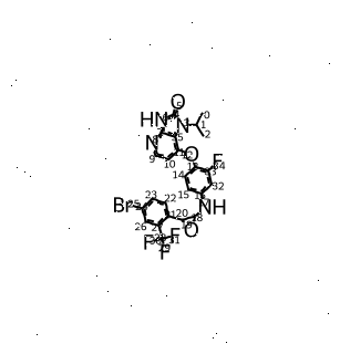 CC(C)n1c(=O)[nH]c2nccc(Oc3ccc(NC4OC4c4ccc(Br)cc4C(F)(F)F)cc3F)c21